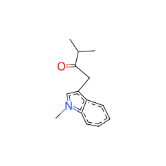 CC(C)C(=O)Cc1cn(C)c2ccccc12